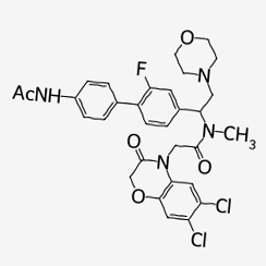 CC(=O)Nc1ccc(-c2ccc(C(CN3CCOCC3)N(C)C(=O)CN3C(=O)COc4cc(Cl)c(Cl)cc43)cc2F)cc1